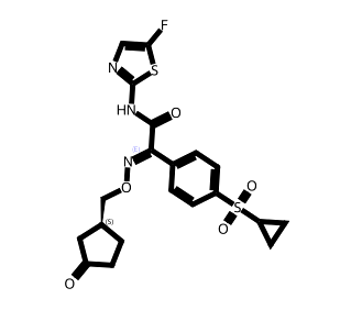 O=C1CC[C@H](CO/N=C(/C(=O)Nc2ncc(F)s2)c2ccc(S(=O)(=O)C3CC3)cc2)C1